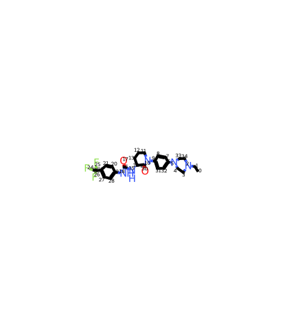 CCN1CCN(c2ccc(N3CCC[C@@H](NC(=O)Nc4ccc(C(F)(F)F)cc4)C3=O)cc2)CC1